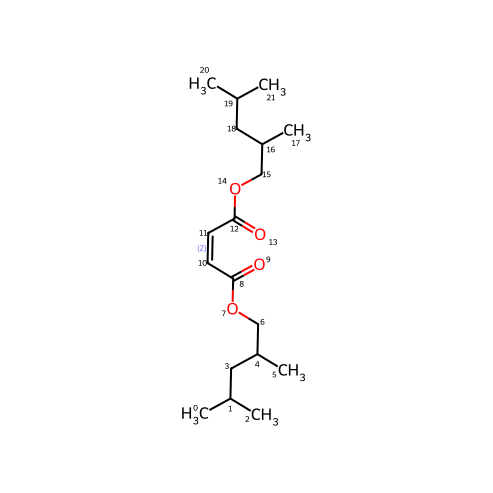 CC(C)CC(C)COC(=O)/C=C\C(=O)OCC(C)CC(C)C